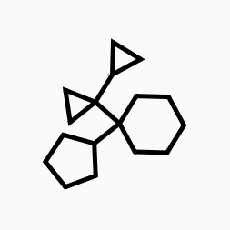 C1CCC(C2CCCC2)(C2([C]3CC3)CC2)CC1